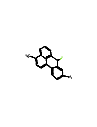 Cc1ccc2c(c1)C(F)c1cccc3c(C)ccc-2c13